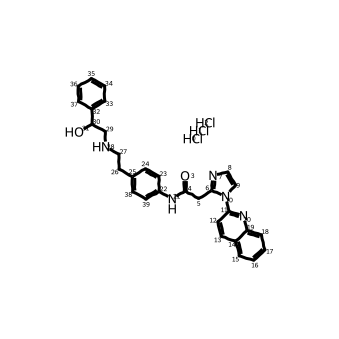 Cl.Cl.Cl.O=C(Cc1nccn1-c1ccc2ccccc2n1)Nc1ccc(CCNCC(O)c2ccccc2)cc1